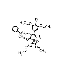 CCOC(=O)C1(NC(=O)N(CCO[C@@H](C)c2ccccc2)[C@H](C)c2cc(OCC)c(C3CC3)c(OCC)c2)CC(OCC)C1